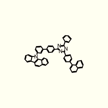 c1ccc(-c2nc(-c3ccc(-c4cccc(-n5c6ccccc6c6ccc7ccccc7c65)c4)cc3)nc(-c3ccc(-c4cccc5ccccc45)cc3)n2)cc1